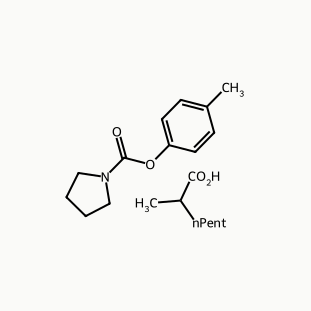 CCCCCC(C)C(=O)O.Cc1ccc(OC(=O)N2CCCC2)cc1